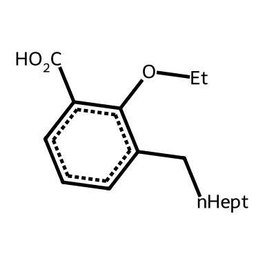 CCCCCCCCc1cccc(C(=O)O)c1OCC